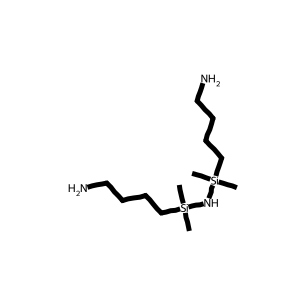 C[Si](C)(CCCCN)N[Si](C)(C)CCCCN